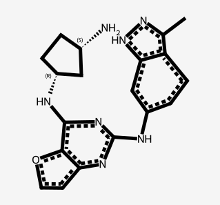 Cc1n[nH]c2cc(Nc3nc(N[C@@H]4CC[C@H](N)C4)c4occc4n3)ccc12